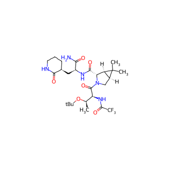 C[C@@H](OC(C)(C)C)[C@H](NC(=O)C(F)(F)F)C(=O)N1C[C@H]2[C@@H]([C@H]1C(=O)N[C@@H](C[C@@H]1CCCNC1=O)C(N)=O)C2(C)C